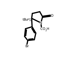 CC(C)(C)[C@]1(c2ccc(Br)cc2)CCC(=O)N1C(=O)O